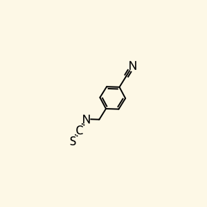 N#Cc1ccc(CN=C=S)cc1